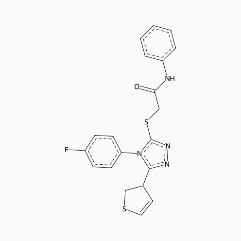 O=C(CSc1nnc(C2C=CSC2)n1-c1ccc(F)cc1)Nc1ccccc1